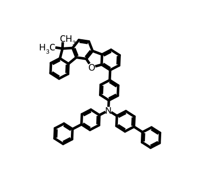 CC1(C)c2ccccc2-c2c1ccc1c2oc2c(-c3ccc(N(c4ccc(-c5ccccc5)cc4)c4ccc(-c5ccccc5)cc4)cc3)cccc21